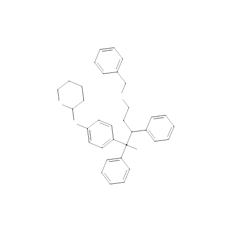 OC(c1ccccc1)(c1ccc(OC2CCCCO2)cc1)C(CCOCc1ccccc1)c1ccccc1